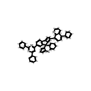 c1ccc(-c2cc(-c3ccc4c(c3)C3(c5ccccc5Sc5ccccc53)c3cc(-c5ccc(-c6ccccc6)c6cccnc56)ccc3-4)nc(-c3ccccc3)n2)cc1